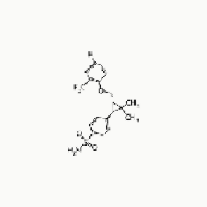 CC1(C)[C@@H](COc2ccc(F)cc2C(F)(F)F)[C@@H]1c1ccc(S(N)(=O)=O)cc1